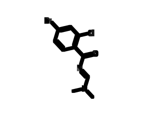 CN(C)C=NC(=O)c1ccc(Br)cc1Cl